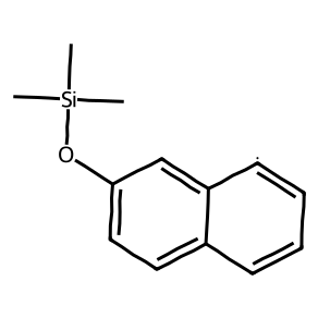 C[Si](C)(C)Oc1ccc2ccc[c]c2c1